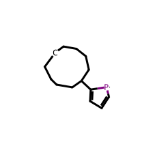 C1=C[P]C(C2CCCCCCCCC2)=C1